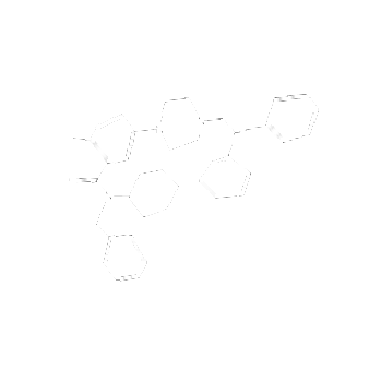 Cc1ccc(N2CCN(CC(c3ccccc3)c3ccccc3)CC2)cc1C(=O)N(Cc1ccccc1)C1CCCCC1